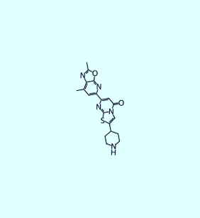 Cc1nc2c(C)cc(-c3cc(=O)n4cc(C5CCNCC5)sc4n3)nc2o1